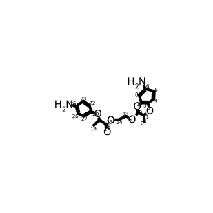 CC(Oc1ccc(N)cc1)C(=O)OCCOC(=O)C(C)Oc1ccc(N)cc1